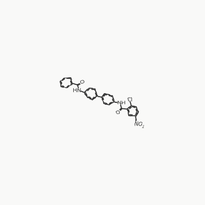 O=C(Nc1ccc(-c2ccc(NC(=O)c3cc([N+](=O)[O-])ccc3Cl)cc2)cc1)c1ccccc1